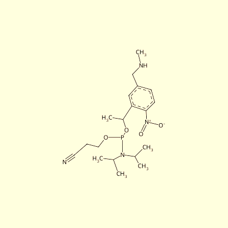 CNCc1ccc([N+](=O)[O-])c(C(C)OP(OCCC#N)N(C(C)C)C(C)C)c1